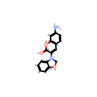 Nc1ccc2cc(N3COc4ccccc43)c(=O)oc2c1